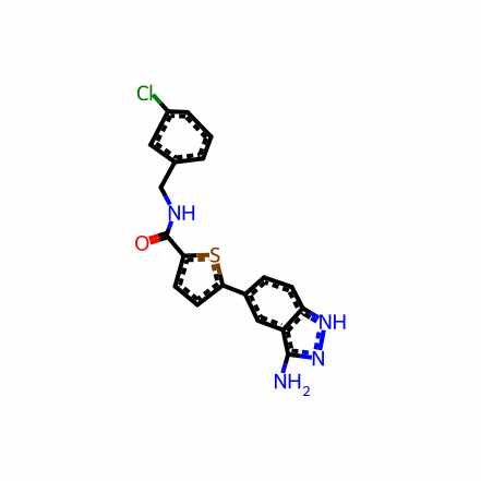 Nc1n[nH]c2ccc(-c3ccc(C(=O)NCc4cccc(Cl)c4)s3)cc12